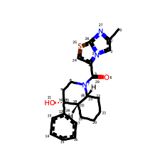 Cc1cn2c(C(=O)N3CC[C@](O)(c4ccccc4)[C@H]4CCCC[C@H]43)csc2n1